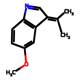 COc1ccc2c(c1)C(=C(C)C)C=N2